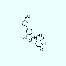 Cc1cc(N2CC[C@@H](C=O)C2)ccc1C(=O)N(C=O)C1CCC(=O)NC1=O